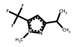 CC(C)c1cc(C(F)(F)F)n(C)n1